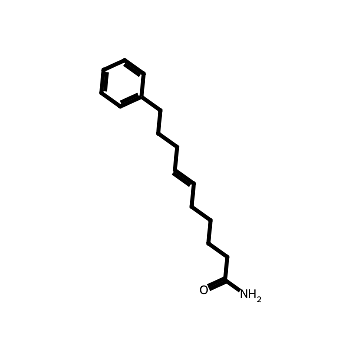 NC(=O)CCCCC=CCCCc1ccccc1